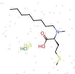 CCCCCCCCN(C)[C@@H](CCSC)C(=O)O.Cl.S